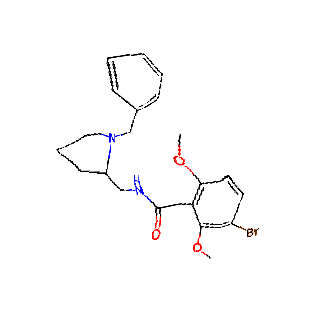 COc1ccc(Br)c(OC)c1C(=O)NCC1CCCN1Cc1ccccc1